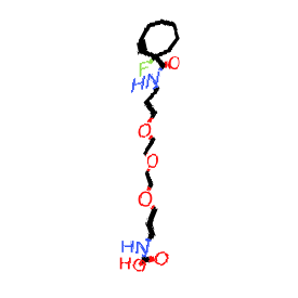 O=C(O)NCCCOCCOCCOCCCNC(=O)C1(F)C#CCCCCC1